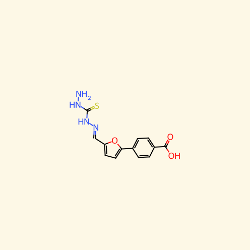 NNC(=S)NN=Cc1ccc(-c2ccc(C(=O)O)cc2)o1